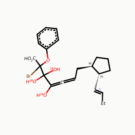 CC/C=C/[C@H]1CCC[C@@H]1CC=C=C([16OH])C([16OH])([16OH])C(Br)(Oc1ccccc1)C(=O)O